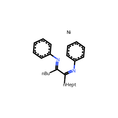 CCCCCCCC(=Nc1ccccc1)C(CCCC)=Nc1ccccc1.[Ni]